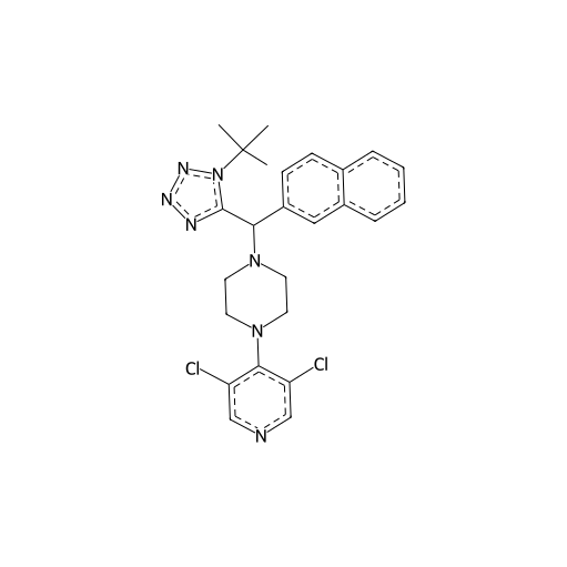 CC(C)(C)n1nnnc1C(c1ccc2ccccc2c1)N1CCN(c2c(Cl)cncc2Cl)CC1